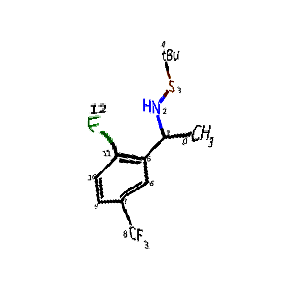 CC(NSC(C)(C)C)c1cc(C(F)(F)F)ccc1F